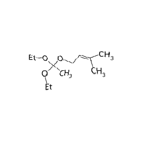 CCOC(C)(OCC)OCC=C(C)C